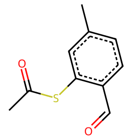 CC(=O)Sc1cc(C)ccc1C=O